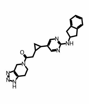 O=C(CC1CC1c1cnc(NC2Cc3ccccc3C2)nc1)N1CCc2[nH]nnc2C1